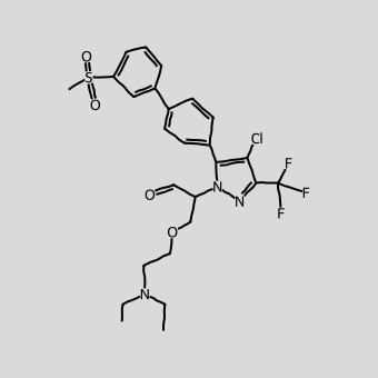 CCN(CC)CCOCC(C=O)n1nc(C(F)(F)F)c(Cl)c1-c1ccc(-c2cccc(S(C)(=O)=O)c2)cc1